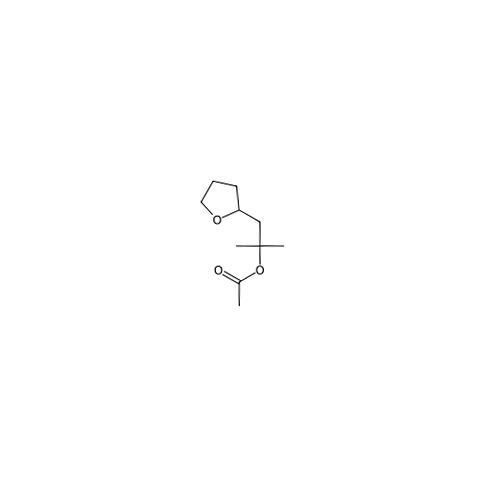 CC(=O)OC(C)(C)CC1CCCO1